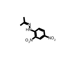 CC(C)=NNc1ccc([N+](=O)[O-])cc1[N+](=O)[O-]